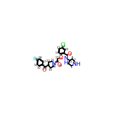 O=C(NC1CCNCC1)c1cc(Cl)ccc1OCC(=O)N1CCC(C(=O)c2ccc(F)cc2)CC1